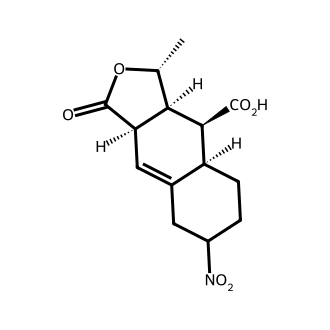 C[C@H]1OC(=O)[C@@H]2C=C3CC([N+](=O)[O-])CC[C@@H]3[C@H](C(=O)O)[C@H]12